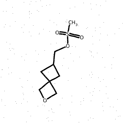 CS(=O)(=O)OCC1CC2(COC2)C1